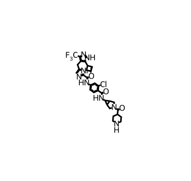 O=C(Nc1ccc(C(=O)NC2C3CN(C(=O)C4CCNCC4)CC32)c(Cl)c1)c1ncc(Cc2c(C(F)(F)F)n[nH]c2C2CCC2)[nH]1